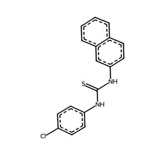 S=C(Nc1ccc(Cl)cc1)Nc1ccc2ccccc2c1